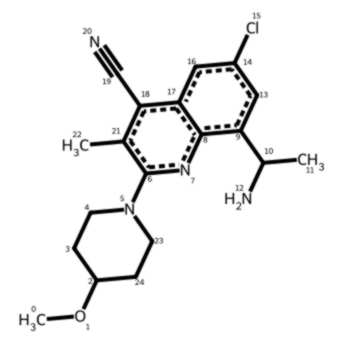 COC1CCN(c2nc3c(C(C)N)cc(Cl)cc3c(C#N)c2C)CC1